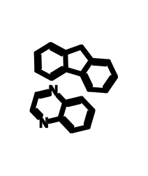 c1ccc2c(c1)Cc1ccccc1-2.c1ccc2nccnc2c1